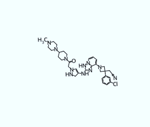 CN1CCN(C2CCN(C(=O)CN3C=C(NC4N=C5C(N6CC(CC#N)(c7cccc(Cl)c7)C6)=CC=CN5N4)CN3)CC2)CC1